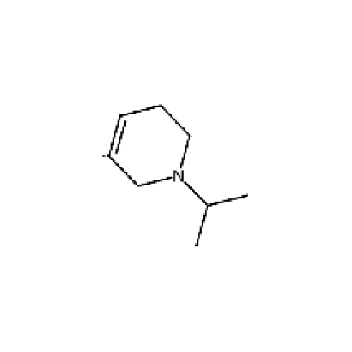 CC(C)N1C[C]=CCC1